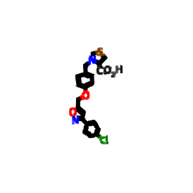 O=C(O)C1CSCN1Cc1ccc(OCc2cc(-c3ccc(Cl)cc3)no2)cc1